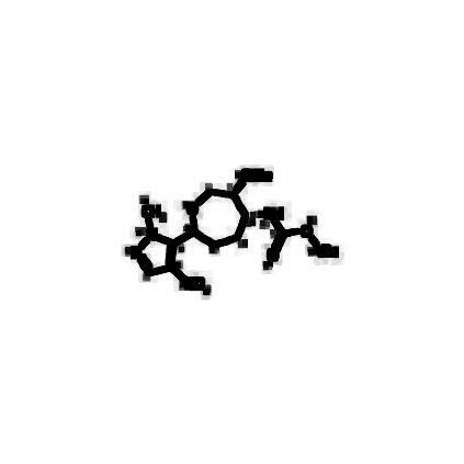 CO[C@@H]1COC(c2c([N+](=O)[O-])cnn2C)CC[C@H]1NC(=O)OC(C)(C)C